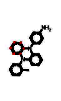 Cc1ccccc1N(c1ccccc1)c1ccccc1N(c1ccccc1)c1ccc(N)cc1